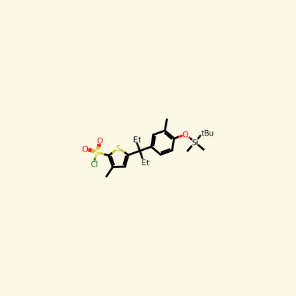 CCC(CC)(c1ccc(O[Si](C)(C)C(C)(C)C)c(C)c1)c1cc(C)c(S(=O)(=O)Cl)s1